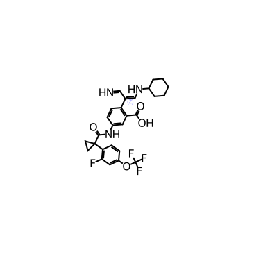 N=C/C(=C\NC1CCCCC1)c1ccc(NC(=O)C2(c3ccc(OC(F)(F)F)cc3F)CC2)cc1C(=O)O